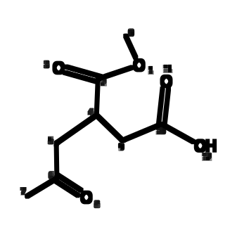 COC(=O)C(CC(C)=O)CC(=O)O